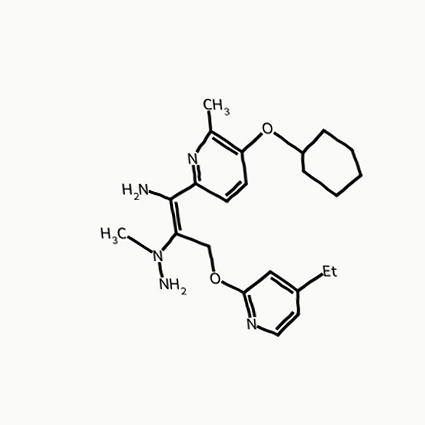 CCc1ccnc(OC/C(=C(/N)c2ccc(OC3CCCCC3)c(C)n2)N(C)N)c1